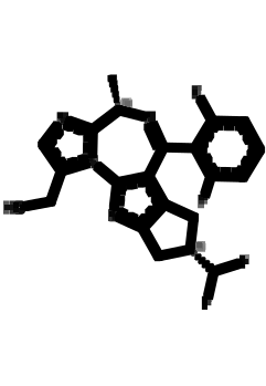 C[C@@H]1N=C(c2c(F)cccc2F)c2c(sc3c2C[C@H](C(F)F)C3)-n2c(CO)cnc21